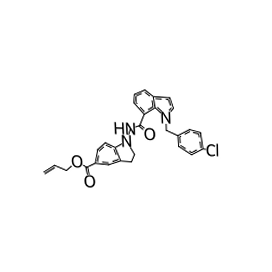 C=CCOC(=O)c1ccc2c(c1)CCN2NC(=O)c1cccc2ccn(Cc3ccc(Cl)cc3)c12